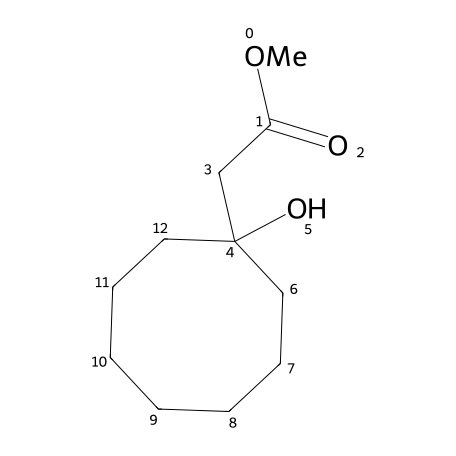 COC(=O)CC1(O)CCCCCCC1